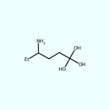 CCC(N)CCC(O)(O)O